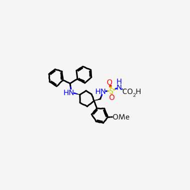 COc1cccc([C@]2(CNS(=O)(=O)NC(=O)O)CC[C@@H](NC(c3ccccc3)c3ccccc3)CC2)c1